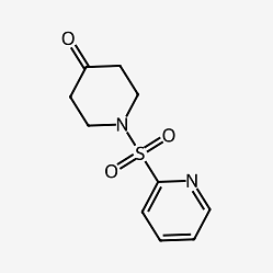 O=C1CCN(S(=O)(=O)c2ccccn2)CC1